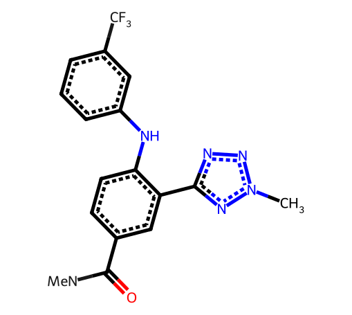 CNC(=O)c1ccc(Nc2cccc(C(F)(F)F)c2)c(-c2nnn(C)n2)c1